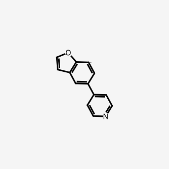 [c]1cc(-c2ccncc2)cc2ccoc12